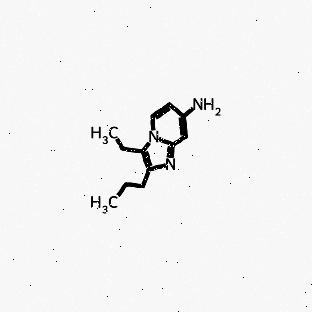 CCCc1nc2cc(N)ccn2c1CC